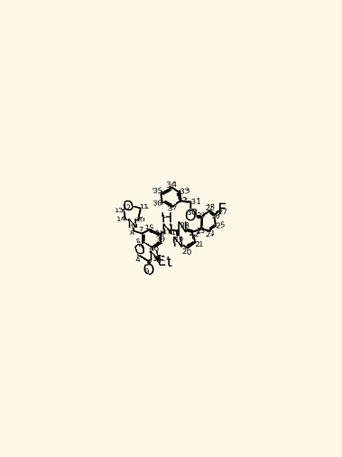 CCN1C(=O)COc2c(CN3CCOCC3)cc(Nc3nccc(-c4ccc(F)cc4OCc4ccccc4)n3)cc21